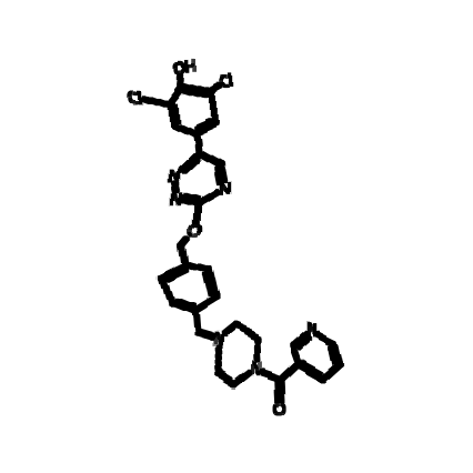 O=C(c1cccnc1)N1CCN(Cc2ccc(COc3ncc(-c4cc(Cl)c(O)c(Cl)c4)nn3)cc2)CC1